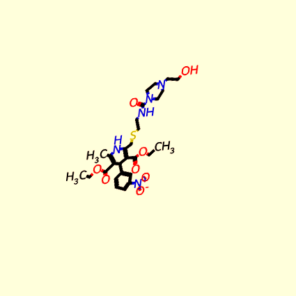 CCOC(=O)C1=C(C)NC(CSCCNC(=O)N2CCN(CCO)CC2)=C(C(=O)OCC)C1c1cccc([N+](=O)[O-])c1